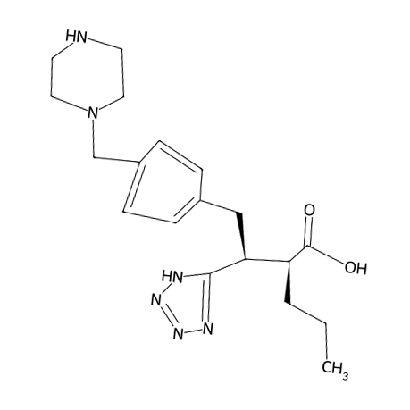 CCC[C@H](C(=O)O)[C@H](Cc1ccc(CN2CCNCC2)cc1)c1nnn[nH]1